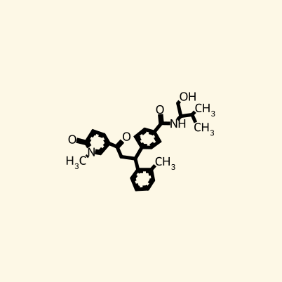 Cc1ccccc1C(CC(=O)c1ccc(=O)n(C)c1)c1ccc(C(=O)NC(CO)C(C)C)cc1